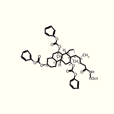 CCCCCCCCNC(=O)CC[C@@H](C)[C@H]1CC[C@H]2C3[C@H](OC(=O)Oc4ccccc4)CC4C[C@H](OC(=O)Oc5ccccc5)CC[C@]4(C)[C@H]3C[C@H](OC(=O)Oc3ccccc3)[C@]12C